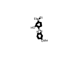 CCN(CC)c1ccc(-n2nc3ccc(OC)cc3n2)c(O)c1